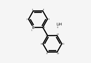 [LiH].b1ccccc1-c1ccccc1